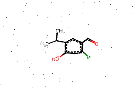 CC(C)c1cc(C=O)c(Br)cc1O